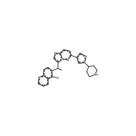 CC(c1ccc2ncccc2c1Cl)c1cnc2ccc(-c3cnn(C4CCNCC4)c3)nn12